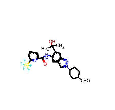 CC(C)(O)c1cc2nn([C@H]3CC[C@H](C=O)CC3)cc2cc1NC(=O)c1cccc(S(F)(F)(F)(F)F)n1